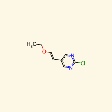 CCOC=Cc1cnc(Cl)nc1